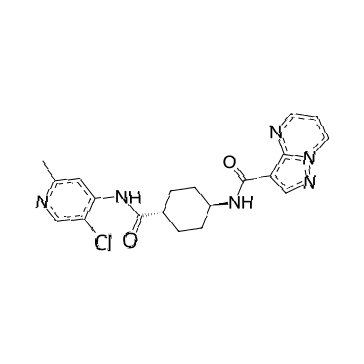 Cc1cc(NC(=O)[C@H]2CC[C@H](NC(=O)c3cnn4cccnc34)CC2)c(Cl)cn1